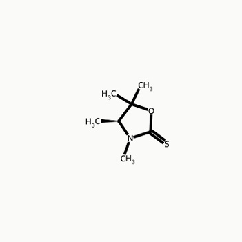 C[C@@H]1N(C)C(=S)OC1(C)C